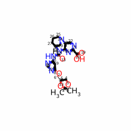 CC1(C)OC[C@@H](COc2cc(NC(=O)N3c4nc(C(=O)O)ncc4N4CCC[C@H]3C4)ncn2)O1